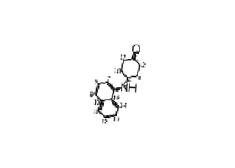 O=C1CCC(Nc2cccc3ccccc23)CC1